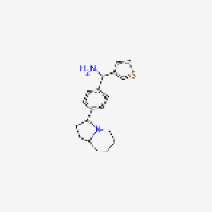 NC(c1ccc(C2CCC3CCCCN32)cc1)c1ccsc1